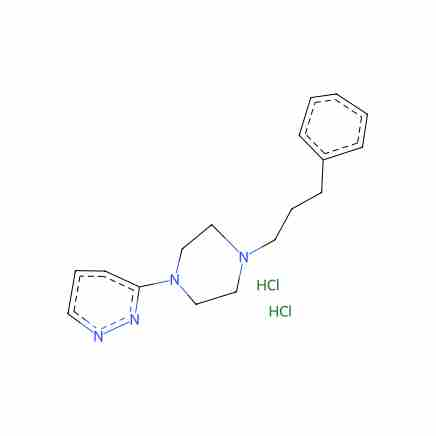 Cl.Cl.c1ccc(CCCN2CCN(c3cccnn3)CC2)cc1